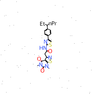 CCCC(CC)c1ccc(-c2csc(NC(=O)Cc3nsc4c3c(=O)n(C)c(=O)n4C)n2)cc1